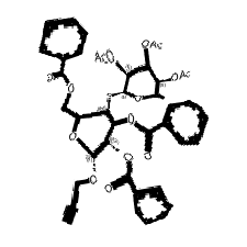 C#CCO[C@@H]1OC(COC(=O)c2ccccc2)[C@@H](S[C@@H]2OC(C)[C@H](OC(C)=O)C(OC(C)=O)[C@@H]2OC(C)=O)C(OC(=O)c2ccccc2)[C@@H]1OC(=O)c1ccccc1